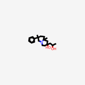 CC(O)CC1(O)CCN2CC(C)(c3ccccc3)CCC2(C)C1